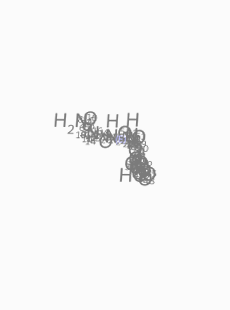 COc1cc2c(cc1N)C(C)=CC(C)(C)N2CCCC(=O)NC/C=C/c1cn([C@H]2CC[C@@H](COP(=O)(OC)OP(=O)(OC)OP(=O)(O)OC)O2)c(=O)[nH]c1=O